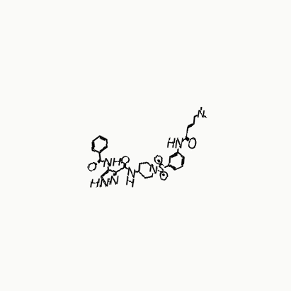 CN(C)C/C=C/C(=O)Nc1cccc(S(=O)(=O)N2CCC(NC(=O)c3n[nH]cc3NC(=O)c3ccccc3)CC2)c1